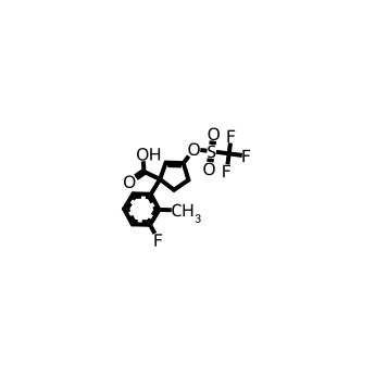 Cc1c(F)cccc1C1(C(=O)O)C=C(OS(=O)(=O)C(F)(F)F)CC1